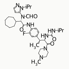 CC(C)NC(=O)N[C@@H](C(=O)N1CCN(C)CC1)[C@@H](C)c1ccc(NC(=O)[C@H](C2CCCCCC2)N(C=O)c2ccnn2C(C)C)c(F)c1